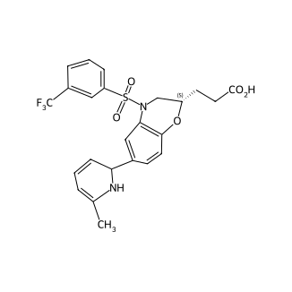 CC1=CC=CC(c2ccc3c(c2)N(S(=O)(=O)c2cccc(C(F)(F)F)c2)C[C@H](CCC(=O)O)O3)N1